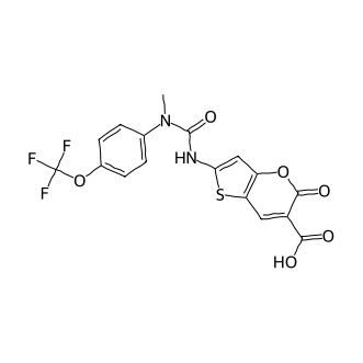 CN(C(=O)Nc1cc2oc(=O)c(C(=O)O)cc2s1)c1ccc(OC(F)(F)F)cc1